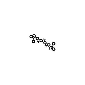 CC1(C)c2cc(-c3oc4ccccc4c3-c3ccccc3)ccc2-c2cc3c(cc21)-c1cc2c(cc1C3(C)C)-c1ccc(-c3oc4ccccc4c3-c3ccccc3)cc1C2(C)C